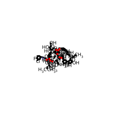 CN[C@H](CC(C)C)C(=O)N[C@H]1C(=O)N[C@@H](CC(N)=O)C(=O)N[C@H]2C(=O)N[C@H]3C(=O)N[C@H](C(=O)N[C@@H](C(=O)NOC)c4cc(O)cc(O)c4-c4cc3ccc4O)[C@H](O)c3ccc(c(Cl)c3)Oc3cc2cc(c3O[C@@H]2O[C@H](CO)[C@@H](O)[C@H](O)[C@H]2O[C@H]2C[C@](C)(NCCn3ccc(NC(=O)/C=C/c4ccc(F)c(Cl)c4)nc3=O)[C@H](O)[C@H](C)O2)Oc2ccc(cc2Cl)[C@H]1O